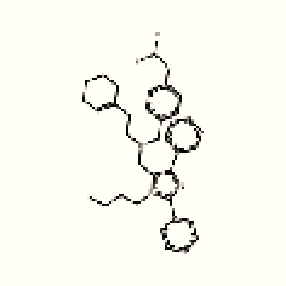 CCCCn1c(-c2ccccc2)nc(-c2ccccc2)c1CN(CCC1=CCCCC1)Cc1ccc(OC(F)F)cc1